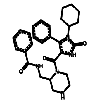 O=C(NCC1CNCCN1C(=O)c1[nH]c(=O)n(C2CCCCC2)c1-c1ccccc1)c1ccccc1